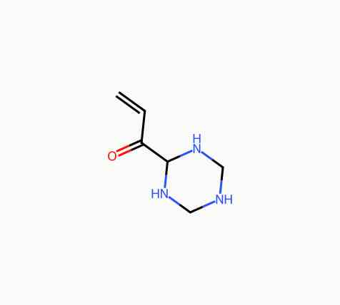 C=CC(=O)C1NCNCN1